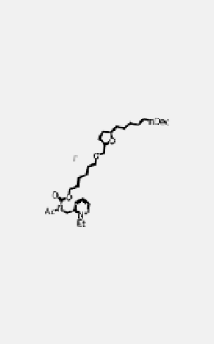 CCCCCCCCCCCCCCCC1CCC(COCCCCCCOC(=O)N(Cc2cccc[n+]2CC)C(C)=O)O1.[I-]